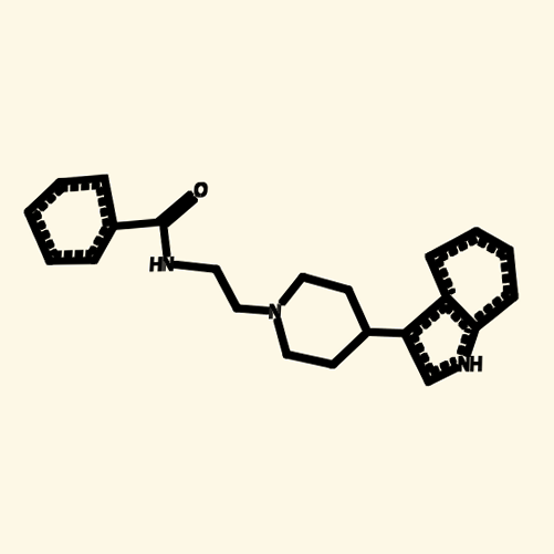 O=C(NCCN1CCC(c2c[nH]c3ccccc23)CC1)c1ccccc1